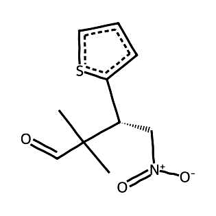 CC(C)(C=O)[C@@H](C[N+](=O)[O-])c1cccs1